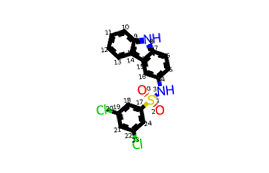 O=S(=O)(Nc1ccc2[nH]c3ccccc3c2c1)c1cc(Cl)cc(Cl)c1